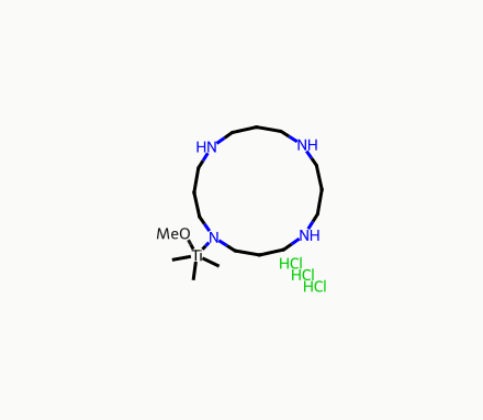 C[O][Ti]([CH3])([CH3])([CH3])[N]1CCCNCCCNCCCNCCC1.Cl.Cl.Cl